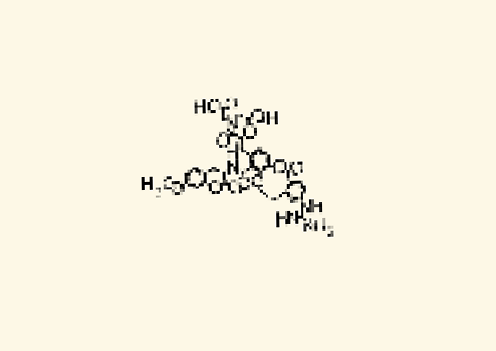 COc1ccc2c(c1)OC(=O)[C@@H](NC(=O)c1c(CCC(=O)N(CC(=O)O)CC(=O)O)ccc3c1OCCCc1cc(NC(=N)N)ccc1C(=O)O3)C2